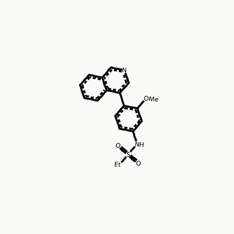 CCS(=O)(=O)Nc1ccc(-c2cncc3ccccc23)c(OC)c1